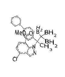 BC(B)(B)C(C)(c1ccc(-c2ccccc2)cc1)n1ncc2c(Cl)ccc(C(=O)OC)c21